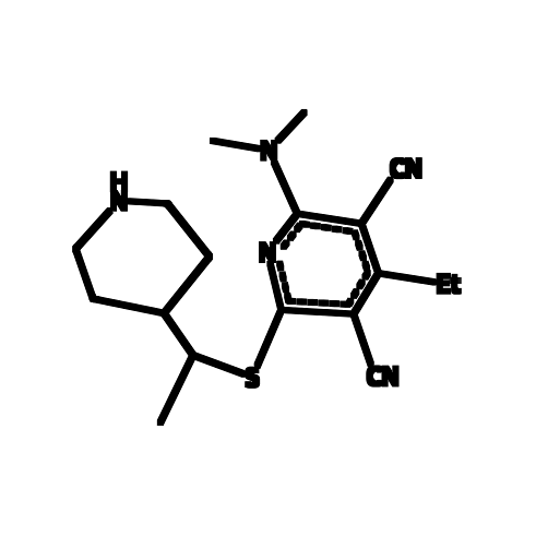 CCc1c(C#N)c(SC(C)C2CCNCC2)nc(N(C)C)c1C#N